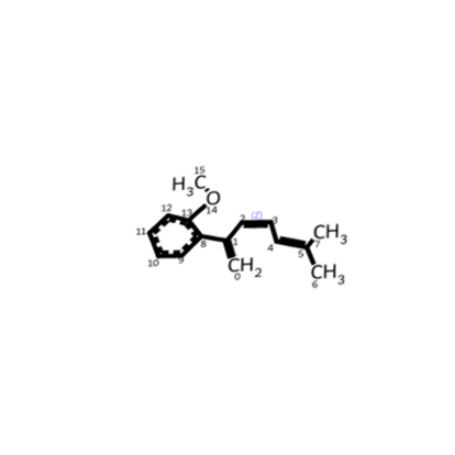 C=C(/C=C\C=C(C)C)c1ccccc1OC